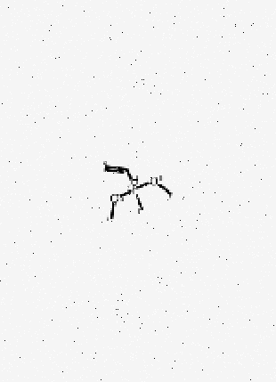 C=C[PH](C)(OC)OC